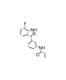 C=CC(=O)Nc1cccc(-c2n[nH]c3c(F)cccc23)c1